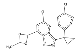 CC1OC(c2cc(Cl)nn3c(C4(c5ccc(Cl)cc5)CC4)nnc23)O1